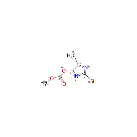 COC(=O)Oc1[nH]c(S)nc1C